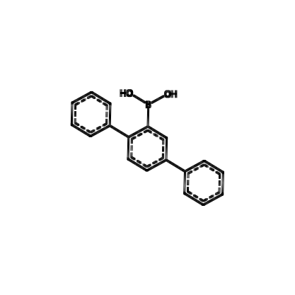 OB(O)c1cc(-c2ccccc2)ccc1-c1ccccc1